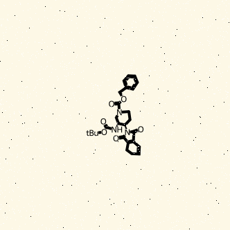 CC(C)(C)OC(=O)N[C@H]1CN(C(=O)OCc2ccccc2)CC[C@H]1N1C(=O)C2=C(CCC=C2)C1=O